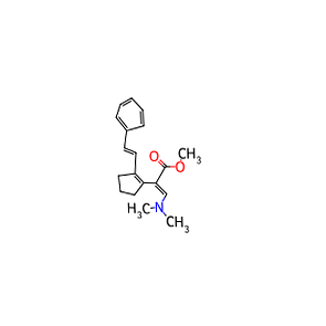 COC(=O)/C(=C/N(C)C)C1=C(/C=C/c2ccccc2)CCC1